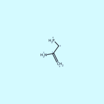 C=C(N)CP